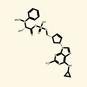 CCC[C@@H](C(=O)OP(=O)(O)OC[C@@H]1C=C[C@H](n2cnc3c(NC4CC4)nc(N)nc32)C1)N(OC)c1ccccc1